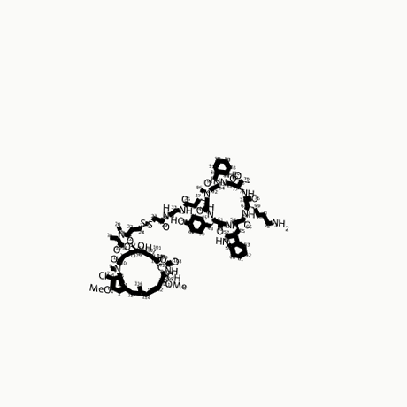 COc1cc2cc(c1Cl)N(C)C(=O)C[C@H](OC(=O)C(C)N(C)C(=O)CCSSCC(=O)NCCNC(=O)CC[C@H]1C(=O)N[C@@H](Cc3ccc(O)cc3)C(=O)N[C@H](Cc3c[nH]c4ccccc34)C(=O)N[C@@H](CCCCN)C(=O)N[C@@H]([C@@H](C)O)C(=O)N[C@@H](Cc3ccccc3)C(=O)N1C)[C@]1(C)O[C@H]1[C@H](C)[C@@H]1C[C@@](O)(NC(=O)O1)[C@H](OC)/C=C/C=C(\C)C2